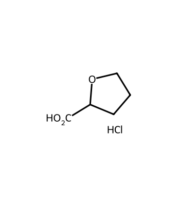 Cl.O=C(O)C1CCCO1